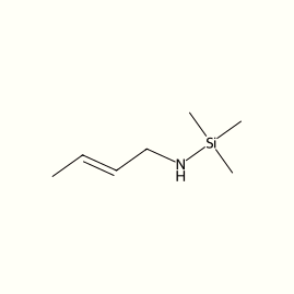 CC=CCN[Si](C)(C)C